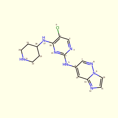 Clc1cnc(Nc2cnn3ccnc3c2)nc1NC1CCNCC1